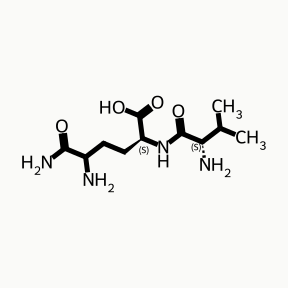 CC(C)[C@H](N)C(=O)N[C@@H](CCC(N)C(N)=O)C(=O)O